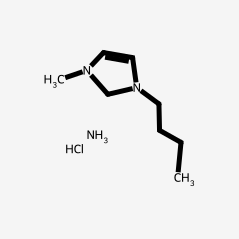 CCCCN1C=CN(C)C1.Cl.N